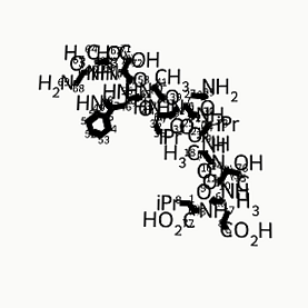 CC(C)C[C@@H](NC(=O)[C@@H](CCC(=O)O)NC(=O)[C@H](NC(=O)[C@@H](C)NC(=O)[C@H](NC(=O)[C@@H](CC(N)=O)NC(=O)[C@@H](CC(C)C)NC(=O)[C@@H](C)NC(=O)[C@@H](Cc1c[nH]c2ccccc12)NC(=O)[C@H](NC(=O)[C@@H](C)NC(=O)CN)[C@H](C)O)C(C)C)[C@H](C)O)C(=O)O